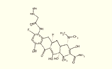 C=C1C(C(N)=O)=C(O)[C@@H](N(C)C)C2C[C@@H]3Cc4c(NC(=O)CNC(C)(C)C)c(F)cc(O)c4C(=O)C3=C(O)[C@]12O